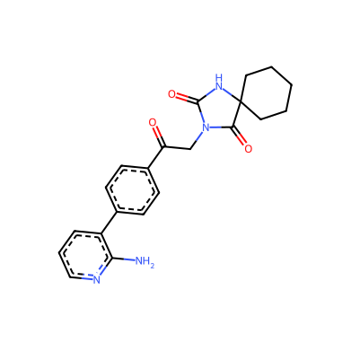 Nc1ncccc1-c1ccc(C(=O)CN2C(=O)NC3(CCCCC3)C2=O)cc1